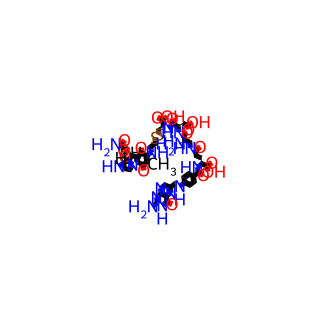 CO[C@@]12[C@H](COC(N)=O)C3=C(C(=O)C(C)=C(NCCSSC[C@H](NC(=O)[C@H](CC(=O)O)NC(=O)[C@@H](N)CNC(=O)CC[C@@H](NC(=O)c4ccc(NCc5cnc6nc(N)[nH]c(=O)c6n5)cc4)C(=O)O)C(=O)O)C3=O)N1CC1N[C@@H]12